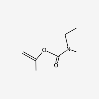 C=C(C)OC(=O)N(C)CC